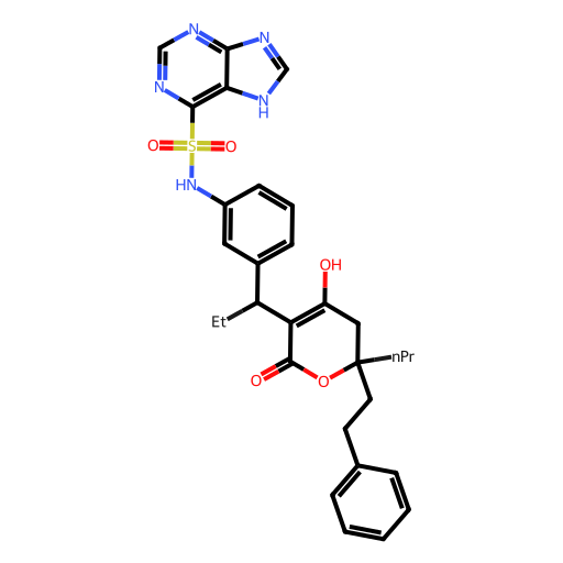 CCCC1(CCc2ccccc2)CC(O)=C(C(CC)c2cccc(NS(=O)(=O)c3ncnc4nc[nH]c34)c2)C(=O)O1